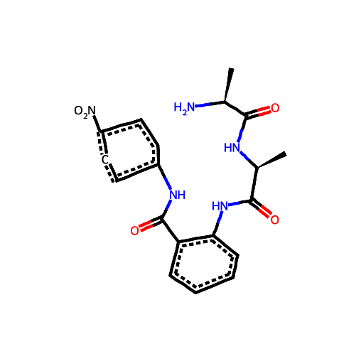 C[C@H](N)C(=O)N[C@@H](C)C(=O)Nc1ccccc1C(=O)Nc1ccc([N+](=O)[O-])cc1